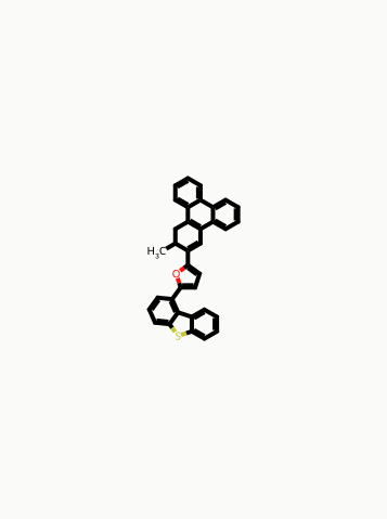 CC1Cc2c(c3ccccc3c3ccccc23)C=C1c1ccc(-c2cccc3sc4ccccc4c23)o1